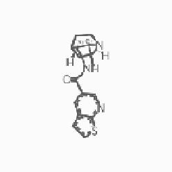 C[C@H]1[C@H](NC(=O)c2cnc3sccc3c2)C2CCN1CC2